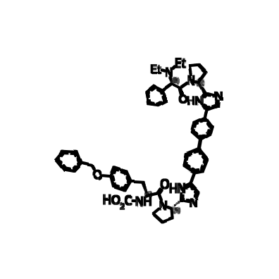 CCN(CC)[C@@H](C(=O)N1CCC[C@H]1c1ncc(-c2ccc(-c3ccc(-c4cnc([C@@H]5CCCN5C(=O)[C@H](Cc5ccc(OCc6ccccc6)cc5)NC(=O)O)[nH]4)cc3)cc2)[nH]1)c1ccccc1